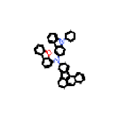 C1=CCC(N2c3ccccc3C3C=C(N(c4ccc5c(c4)-c4cccc6cc7ccccc7c-5c46)c4cccc5c4oc4ccccc45)C=CC32)C=C1